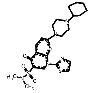 CN(C)S(=O)(=O)c1cn(-c2nccs2)c2nc(N3CCN(C4CCCCC4)CC3)ccc2c1=O